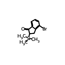 C[Si](C)(C)C1Cc2c(Br)cccc2C1=O